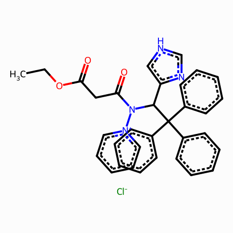 CCOC(=O)CC(=O)N(C(c1c[nH]cn1)C(c1ccccc1)(c1ccccc1)c1ccccc1)[n+]1ccccc1.[Cl-]